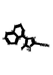 CC(=O)Nc1nc(-c2cccc3ccccc23)c(C)[nH]1